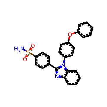 NS(=O)(=O)c1ccc(-c2nc3ccccc3n2-c2ccc(Oc3ccccc3)cc2)cc1